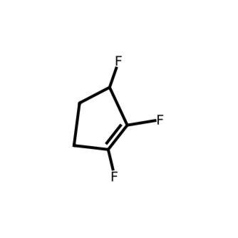 FC1=C(F)C(F)CC1